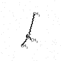 CCCCCCCCCCCCCCCC[n+]1ccn(CCCCCCC)c1CCC